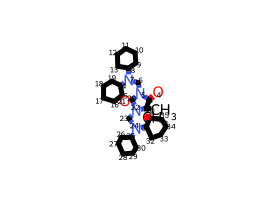 CC1(C)C(=O)N(CN(C2CCCCC2)C2CCCCC2)C(=O)N1CN(C1CCCCC1)C1CCCCC1